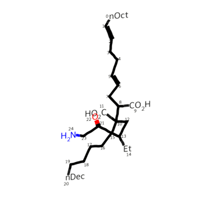 CCCCCCCCC=CCCC=CCC(C(=O)O)C1(C(=O)O)CC(CC)C1(CCCCCCCCCCCCCC)C(=O)CN